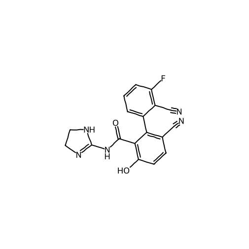 N#Cc1ccc(O)c(C(=O)NC2=NCCN2)c1-c1cccc(F)c1C#N